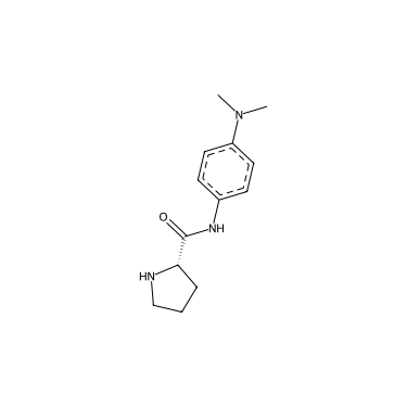 CN(C)c1ccc(NC(=O)[C@@H]2CCCN2)cc1